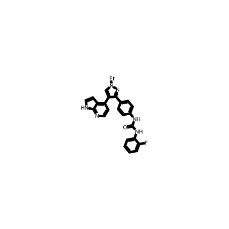 CCn1cc(-c2ccnc3[nH]ccc23)c(-c2ccc(NC(=O)Nc3ccccc3F)cc2)n1